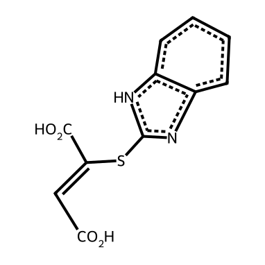 O=C(O)/C=C(\Sc1nc2ccccc2[nH]1)C(=O)O